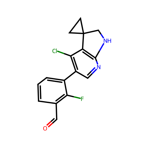 O=Cc1cccc(-c2cnc3c(c2Cl)C2(CC2)CN3)c1F